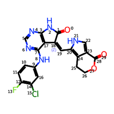 O=C1Nc2ncnc(Nc3ccc(F)c(Cl)c3)c2/C1=C/c1[nH]cc2c1CCOC2=O